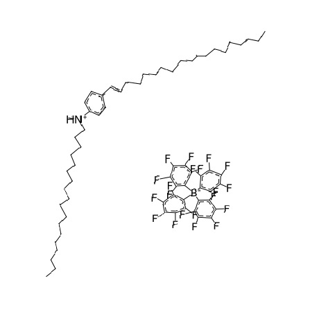 CCCCCCCCCCCCCCCCCC=Cc1ccc([NH+](C)CCCCCCCCCCCCCCCCCC)cc1.Fc1c(F)c(F)c([B-](c2c(F)c(F)c(F)c(F)c2F)(c2c(F)c(F)c(F)c(F)c2F)c2c(F)c(F)c(F)c(F)c2F)c(F)c1F